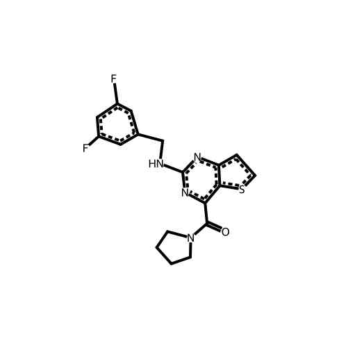 O=C(c1nc(NCc2cc(F)cc(F)c2)nc2ccsc12)N1CCCC1